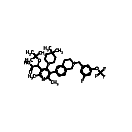 Cc1nc(C)c([C@H](OC(C)(C)C)C(=O)O)c(N2CCC(C)(C)CC2)c1-c1ccc2c(c1)CCN(Cc1cc(F)cc(OC(F)(F)F)c1)C2